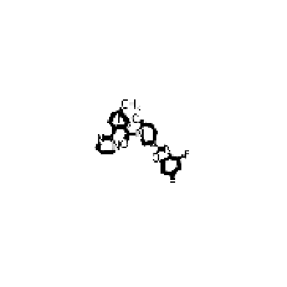 Cc1ccc(-c2ncccn2)c(C(=O)N2C[C@H](c3nc4c(F)cc(F)cc4o3)CC[C@H]2C)c1